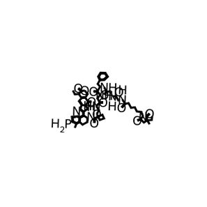 CCC1C(=O)OCC2=C1C=C1c3nc4cc(P)c(C)c5c4c(c3CC1C2=O)C(NC(=O)C1(OCNC(=O)CNC(=O)C(Cc2ccccc2)NC(=O)CNC(=O)CNC(=O)CCCCCN2C(=O)CC(C)(CC)C2=O)CCC1)CC5